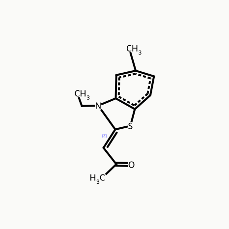 CCN1/C(=C/C(C)=O)Sc2ccc(C)cc21